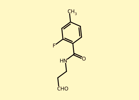 Cc1ccc(C(=O)NCCC=O)c(F)c1